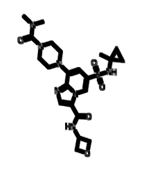 CN(C)C(=O)N1CCN(c2cc(S(=O)(=O)NC3(C)CC3)cn3c(C(=O)NC4COC4)cnc23)CC1